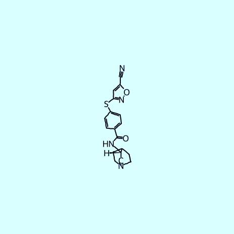 N#Cc1cc(Sc2ccc(C(=O)N[C@H]3CN4CCC3CC4)cc2)no1